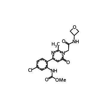 COC(=O)Nc1cc(Cl)ccc1-c1cc(=O)n(CC(=O)NC2COC2)c(C)n1